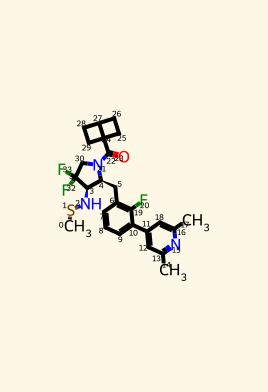 CSN[C@@H]1[C@H](Cc2cccc(-c3cc(C)nc(C)c3)c2F)N(C(=O)C23CCC2CC3)CC1(F)F